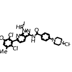 COc1cc(OC)c(Cl)c(-c2ccc3c(NC(=O)c4ccc(N5CCN(C)CC5)cc4)nn(PI)c3n2)c1Cl